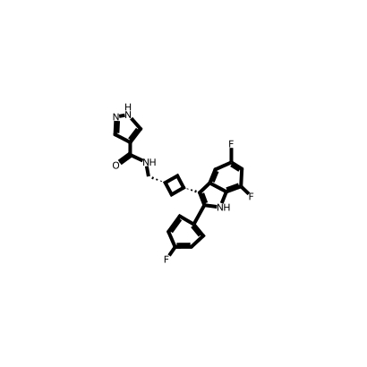 O=C(NC[C@H]1C[C@@H](c2c(-c3ccc(F)cc3)[nH]c3c(F)cc(F)cc32)C1)c1cn[nH]c1